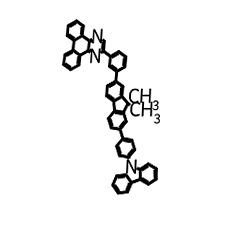 CC1(C)c2cc(-c3ccc(-n4c5ccccc5c5ccccc54)cc3)ccc2-c2ccc(-c3cccc(-c4cnc5c6ccccc6c6ccccc6c5n4)c3)cc21